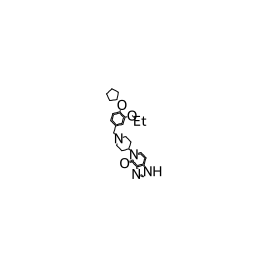 CCOc1cc(CN2CCC(n3ccc4[nH]cnc4c3=O)CC2)ccc1OC1CCCC1